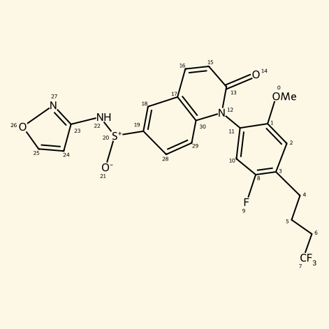 COc1cc(CCCC(F)(F)F)c(F)cc1-n1c(=O)ccc2cc([S+]([O-])Nc3ccon3)ccc21